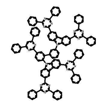 c1ccc(-c2cc(-c3ccccc3)nc(-c3ccc(-n4c5ccc(-c6nc(-c7ccccc7)nc(-c7ccccc7)n6)cc5c5cc(-c6nc(-c7ccccc7)nc(-c7ccccc7)n6)ccc54)c(-c4cccc(-n5c6ccc(-c7nc(-c8ccccc8)nc(-c8ccccc8)n7)cc6c6cc(-c7nc(-c8ccccc8)nc(-c8ccccc8)n7)ccc65)c4)c3)n2)cc1